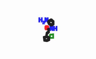 Nc1cccc(NC(=O)/C=C/c2ccccc2Cl)c1